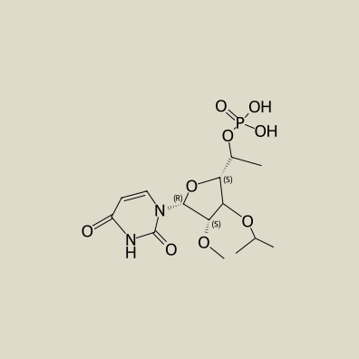 CO[C@H]1C(OC(C)C)[C@@H](C(C)OP(=O)(O)O)O[C@H]1n1ccc(=O)[nH]c1=O